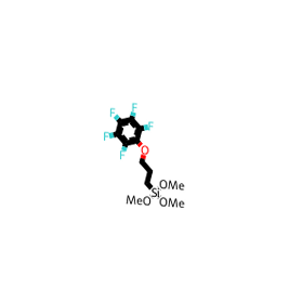 CO[Si](CCCOc1c(F)c(F)c(F)c(F)c1F)(OC)OC